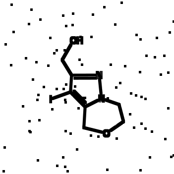 OCc1nn2c(c1I)COCC2